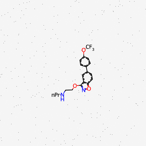 CCCNCCOc1noc2ccc(-c3ccc(OC(F)(F)F)cc3)cc12